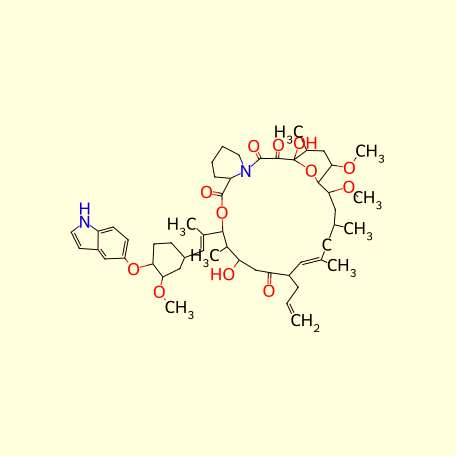 C=CCC1/C=C(\C)CC(C)CC(OC)C2OC(O)(C(=O)C(=O)N3CCCCC3C(=O)OC(C(C)=CC3CCC(Oc4ccc5[nH]ccc5c4)C(OC)C3)C(C)C(O)CC1=O)C(C)CC2OC